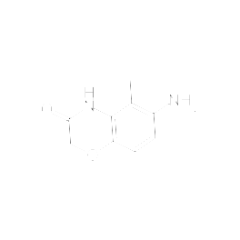 Cc1c(N)ccc2c1NC(=O)CO2